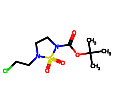 CC(C)(C)OC(=O)N1CCN(CCCl)S1(=O)=O